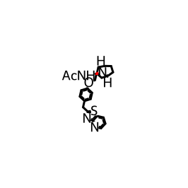 CC(=O)NC1C[C@H]2CC[C@@H](C1)N2CCOc1ccc(Cc2nc3ncccc3s2)cc1